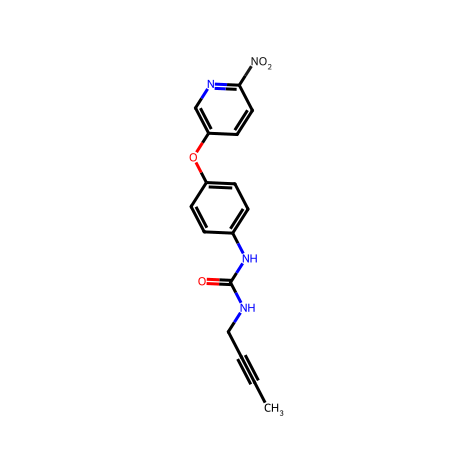 CC#CCNC(=O)Nc1ccc(Oc2ccc([N+](=O)[O-])nc2)cc1